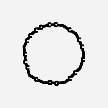 C1CCCCCCCCCCCCOOCCCCCCCCCCC1